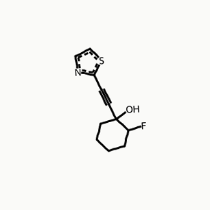 OC1(C#Cc2nccs2)CCCCC1F